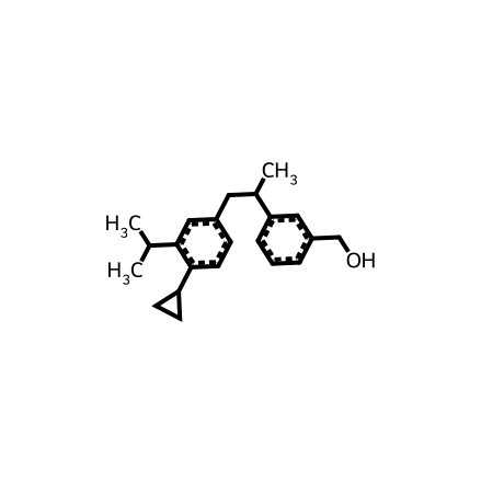 CC(C)c1cc(CC(C)c2cccc(CO)c2)ccc1C1CC1